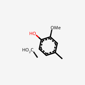 CC(=O)O.COc1cc(C)ccc1O